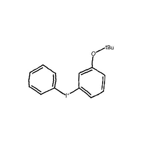 CC(C)(C)Oc1cccc([I+]c2ccccc2)c1